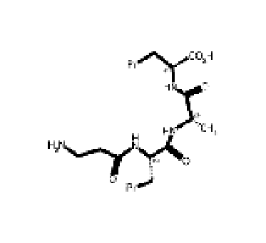 CC(C)C[C@H](NC(=O)[C@H](C)NC(=O)[C@H](CC(C)C)NC(=O)CCN)C(=O)O